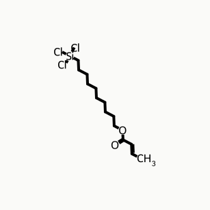 CC=CC(=O)OCCCCCCCCCC[Si](Cl)(Cl)Cl